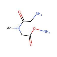 CC(=O)N(CC(=O)ON)C(=O)CN